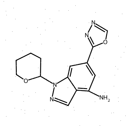 Nc1cc(-c2nnco2)cc2c1cnn2C1CCCCO1